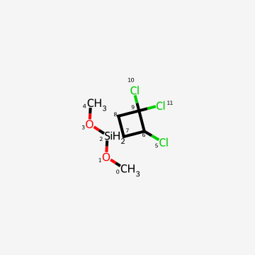 CO[SiH2]OC.ClC1CCC1(Cl)Cl